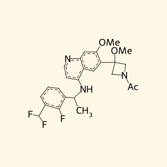 COc1cc2nccc(NC(C)c3cccc(C(F)F)c3F)c2cc1C1(OC)CN(C(C)=O)C1